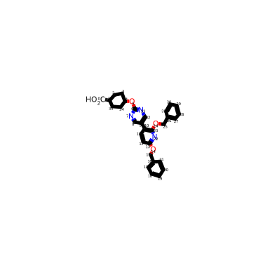 O=C(O)C1CCC(Oc2ncc(-c3ccc(OCc4ccccc4)nc3OCc3ccccc3)cn2)CC1